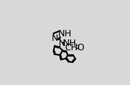 NN(C1=NCCN1)c1cccc2cc3ccccc3c(C=O)c12